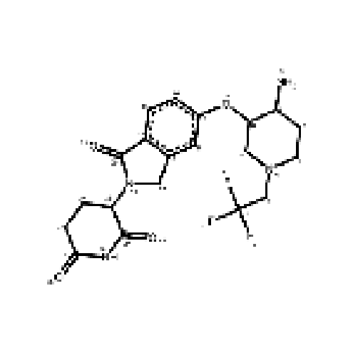 NC1CCN(CC(F)(F)F)CC1Oc1ccc2c(c1)CN(C1CCC(=O)NC1=O)C2=O